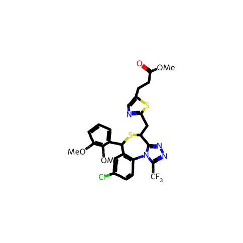 COC(=O)CCc1cnc(CC2SC(c3cccc(OC)c3OC)c3cc(Cl)ccc3-n3c2nnc3C(F)(F)F)s1